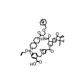 C=CCOC(=O)N1CCC2(CC1)CCN(C(=O)[C@@H](NC(=O)[C@@H]1CN(C(=O)c3cnn(Cc4ccccc4C(=O)O)c3)CC13CN(C(=O)C1(C(F)(F)F)CC1)C3)[C@@H](C)OCC13CCC(CC1)OC3)CC2